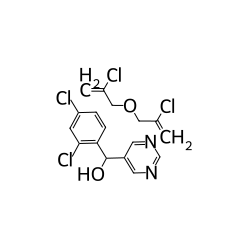 C=C(Cl)COCC(=C)Cl.OC(c1cncnc1)c1ccc(Cl)cc1Cl